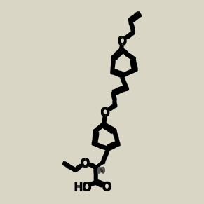 C=CCOc1ccc(C=CCOc2ccc(C[C@H](OCC)C(=O)O)cc2)cc1